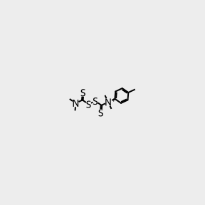 Cc1ccc([N+](C)(C)C(=S)SSC(=S)N(C)C)cc1